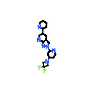 FC1(F)CN(c2ccnc(-n3cc4cc(-c5ccccn5)cnc4n3)c2)C1